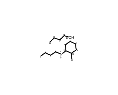 CCCCNC1CCCCC1C.CCCCO